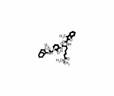 Cc1c(C(=O)NC(CC/C=C/C(=O)N(C)C)C(=O)Nc2cccn(CC(=O)NC3C(C)CC4CCCC3C4)c2=O)oc2ccccc12